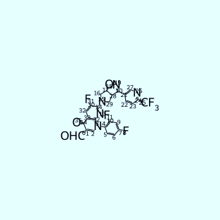 O=Cc1cn(-c2ccc(F)cc2F)c2nc(N3CC4ON=C(c5ccc(C(F)(F)F)nc5)C4C3)c(F)cc2c1=O